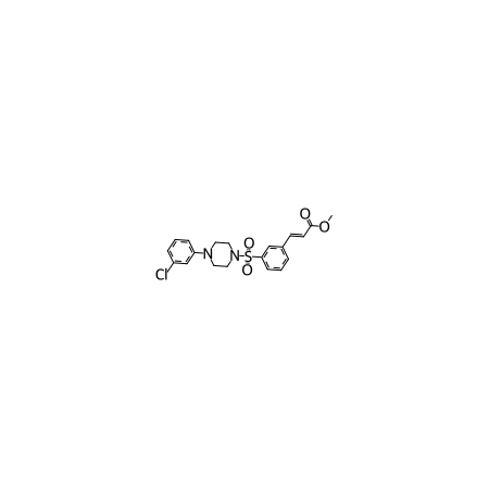 COC(=O)/C=C/c1cccc(S(=O)(=O)N2CCN(c3cccc(Cl)c3)CC2)c1